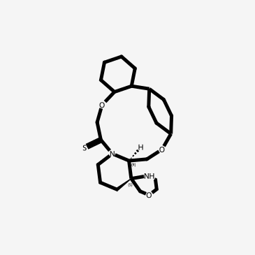 S=C1COC2CCCCC2C2CCC(CC2)OC[C@@H]2N1CCC[C@@]21COCCN1